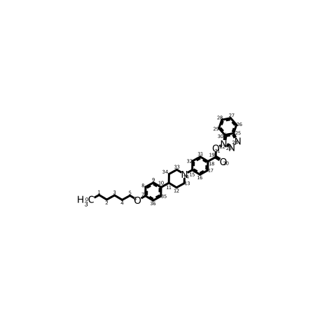 CCCCCCOc1ccc(C2CCN(c3ccc(C(=O)On4nnc5ccccc54)cc3)CC2)cc1